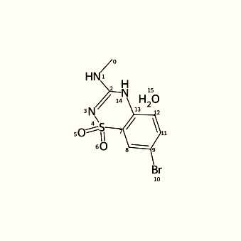 CNC1=NS(=O)(=O)c2cc(Br)ccc2N1.O